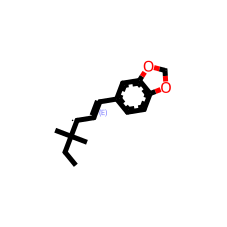 CCC(C)(C)[CH]/C=C/c1ccc2c(c1)OCO2